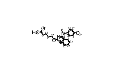 COc1ccc(N(C)c2nc(OCCCCC(=O)O)nc3ccccc23)cc1